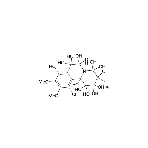 COc1c(O)c2c(c(O)c1OC)C1(O)N(C(O)(O)C2(O)O)C(O)(O)C(O)(CC(C)C)C(O)(O)C1(O)O